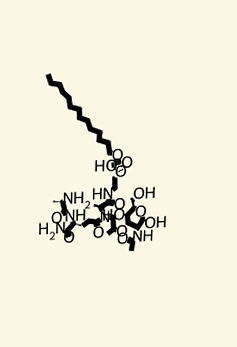 CCCCCCCCCCCCCCOP(=O)(O)OCCNC(=O)[C@H](C)N(CC(C)O[C@H]1[C@H](O)[C@@H](CO)O[C@H](O)[C@@H]1NC(C)=O)C(=O)CC[C@@H](NC(=O)[C@H](C)N)C(N)=O